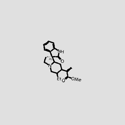 C=C(C(=O)OC)C1CC2N(CC[C@]23C(=O)Nc2ccccc23)CC1CC